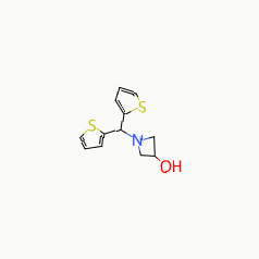 OC1CN(C(c2cccs2)c2cccs2)C1